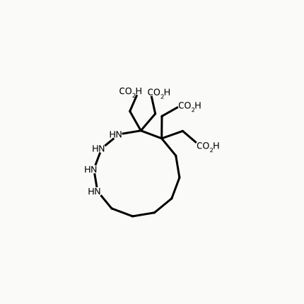 O=C(O)CC1(CC(=O)O)CCCCCCNNNNC1(CC(=O)O)CC(=O)O